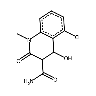 CN1C(=O)C(C(N)=O)C(O)c2c(Cl)cccc21